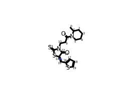 CC1CCCCN1C(=O)CCN1C(=O)/C(=C\c2cccs2)SC1=S